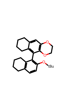 CC(C)(C)Oc1ccc2c(c1-c1c3c(cc4c1OCCO4)CCCC3)CCCC2